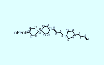 C=CCC[C@H]1CC[C@H](CCC=C[C@H]2CC[C@H]([C@H]3CC[C@H](CCCCC)CC3)CC2)CC1